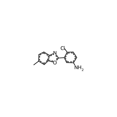 Cc1ccc2nc(-c3cc(N)ccc3Cl)oc2c1